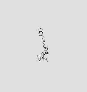 CC(C)(C)OC(=O)NC1CCN(CCCOCCc2ccc3sccc3c2)C1